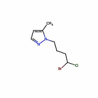 Cc1ccnn1CCCC(Cl)Br